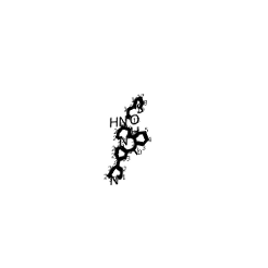 C[C@@H]1c2ccccc2[C@H]2C[C@H](NC(=O)Cc3cccs3)CCN2c2ccc(-c3ccncc3)cc21